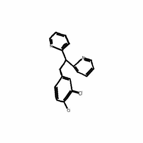 Clc1ccc([CH]C(c2ccccn2)c2ccccn2)cc1Cl